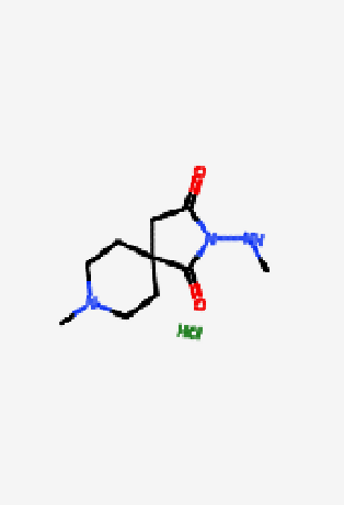 CNN1C(=O)CC2(CCN(C)CC2)C1=O.Cl